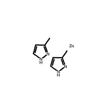 Cc1cc[nH]n1.Cc1cc[nH]n1.[Zn]